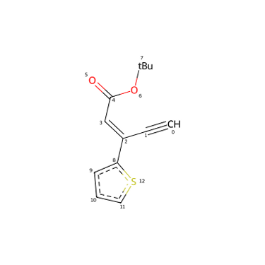 C#CC(=CC(=O)OC(C)(C)C)c1cccs1